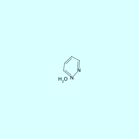 O.c1ccnnc1